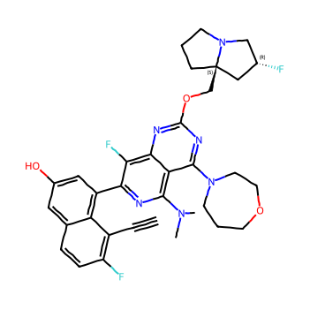 C#Cc1c(F)ccc2cc(O)cc(-c3nc(N(C)C)c4c(N5CCCOCC5)nc(OC[C@@]56CCCN5C[C@H](F)C6)nc4c3F)c12